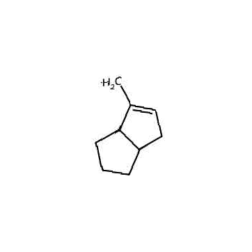 [CH2]C1=CCC2CCCC12